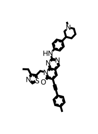 CCc1ncsc1Cn1c(=O)c(C#Cc2ccc(C)cc2)cc2cnc(Nc3ccc(C4CCCN(C)C4)cc3)nc21